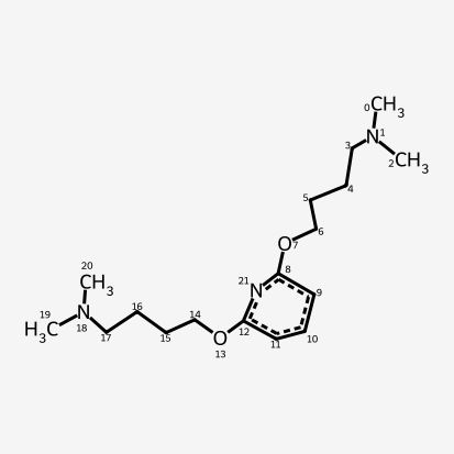 CN(C)CCCCOc1cccc(OCCCCN(C)C)n1